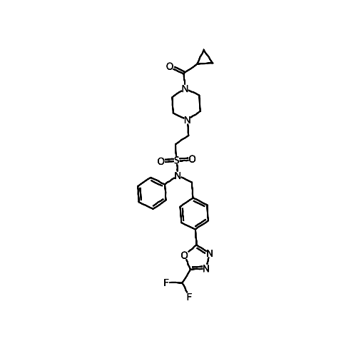 O=C(C1CC1)N1CCN(CCS(=O)(=O)N(Cc2ccc(-c3nnc(C(F)F)o3)cc2)c2ccccc2)CC1